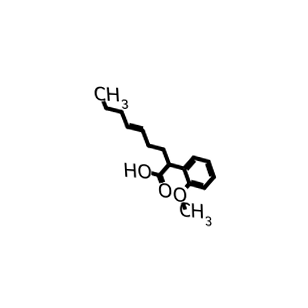 CCC/C=C/CCC(C(=O)O)c1ccccc1OC